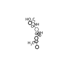 Cn1c(-c2ccccc2)cc2cc(S(=O)(=O)N[C@H]3CC[C@H](C(=O)N[C@H](CC(=O)O)c4ccccc4)CC3)ccc21